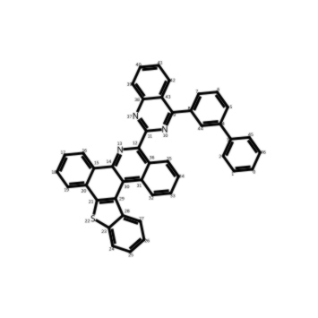 c1ccc(-c2cccc(-c3nc(-c4nc5c6ccccc6c6sc7ccccc7c6c5c5ccccc45)nc4ccccc34)c2)cc1